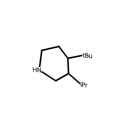 CC(C)C1CNCCC1C(C)(C)C